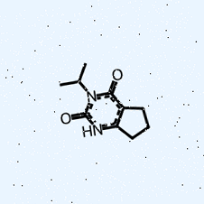 CC(C)n1c(=O)[nH]c2c(c1=O)CCC2